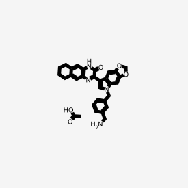 CC(=O)O.NCc1cccc(Cn2cc(-c3nc4cc5c(cc4[nH]c3=O)CCCC5)c3cc4c(cc32)OCO4)c1